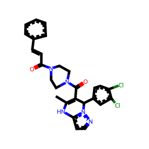 CC1=C(C(=O)N2CCN(C(=O)C=Cc3ccccc3)CC2)C(c2ccc(Cl)c(Cl)c2)n2nccc2N1